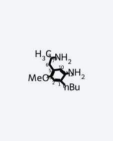 CCCCc1cc(OC)c(CC(C)N)cc1N